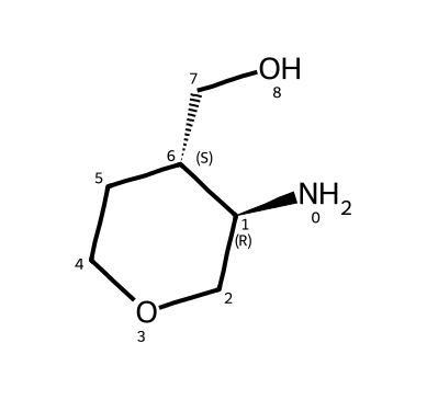 N[C@H]1COCC[C@@H]1CO